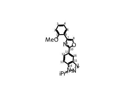 COc1ccccc1-c1coc(-c2ccc3c(c2)nnn3C(C)C)n1